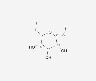 CCC1O[C@H](OC)[C@H](O)C(O)[C@@H]1O